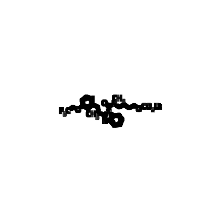 CCOC(=O)OCCCCN(C)C(=O)n1c(SCc2nccc(OCC(F)(F)F)c2C)nc2ccccc21